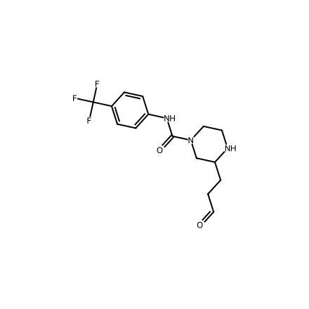 O=CCCC1CN(C(=O)Nc2ccc(C(F)(F)F)cc2)CCN1